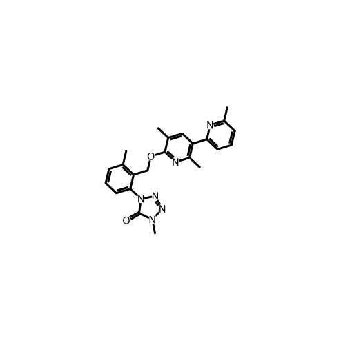 Cc1cccc(-c2cc(C)c(OCc3c(C)cccc3-n3nnn(C)c3=O)nc2C)n1